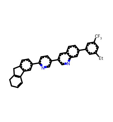 CCc1cc(-c2ccc3cc(-c4ccc(-c5ccc6c(c5)C5=C(CCC=C5)C6)nc4)cnc3c2)cc(C(F)(F)F)c1